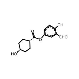 O=Cc1cc(OC(=O)[C@H]2CC[C@H](O)CC2)ccc1O